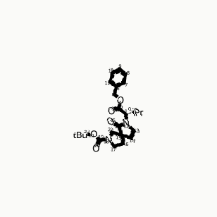 CC(C)[C@@H](C(=O)OCc1ccccc1)N1CCC2(CCN(C(=O)OC(C)(C)C)C2)C1=O